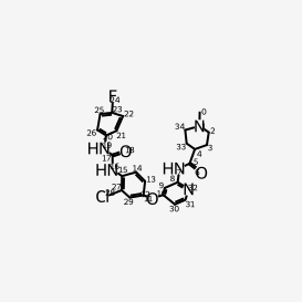 CN1CCC(C(=O)Nc2cc(Oc3ccc(NC(=O)Nc4ccc(F)cc4)c(Cl)c3)ccn2)CC1